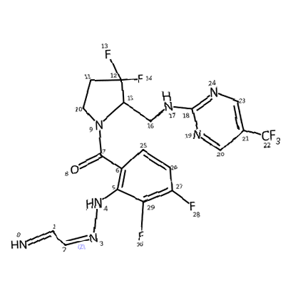 N=C/C=N\Nc1c(C(=O)N2CCC(F)(F)C2CNc2ncc(C(F)(F)F)cn2)ccc(F)c1F